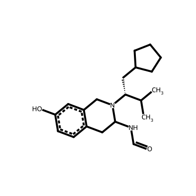 CC(C)[C@@H](CC1CCCC1)N1Cc2cc(O)ccc2CC1NC=O